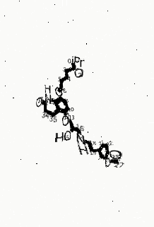 CC(C)C(=O)CCCCOc1ccc(OCC(O)CNCCc2ccc3c(c2)OCO3)c2c1NC(=O)CC2